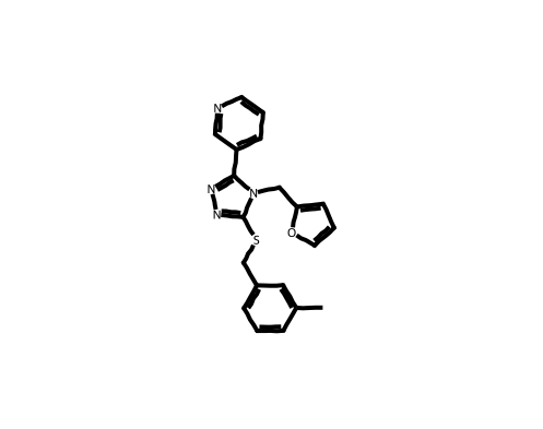 Cc1cccc(CSc2nnc(-c3cccnc3)n2Cc2ccco2)c1